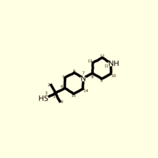 CC(C)(S)C1CCN(C2CCNCC2)CC1